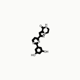 O=C1NCCn2nc(-c3ccnc(-c4cc(O)cc(O)c4)n3)cc21